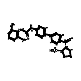 CC(C)c1cccc(C(C)C)c1NC(=O)Nc1ccc(-c2ccc(C(=O)[C@@H]3CCC[C@H]3C(=O)O)cc2)cc1